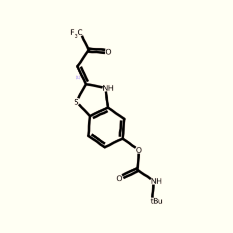 CC(C)(C)NC(=O)Oc1ccc2c(c1)N/C(=C\C(=O)C(F)(F)F)S2